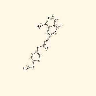 COc1ccc(C[S+]([O-])/C=C/c2cc(I)c(OC)c(OC)c2)cc1